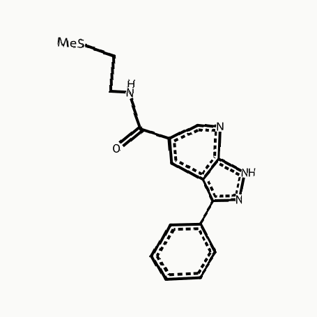 CSCCNC(=O)c1cnc2[nH]nc(-c3ccccc3)c2c1